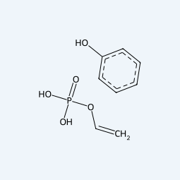 C=COP(=O)(O)O.Oc1ccccc1